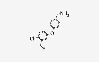 NCc1ccc(Oc2ccc(Cl)c(CF)c2)cc1